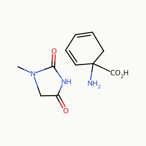 CN1CC(=O)NC1=O.NC1(C(=O)O)C=CC=CC1